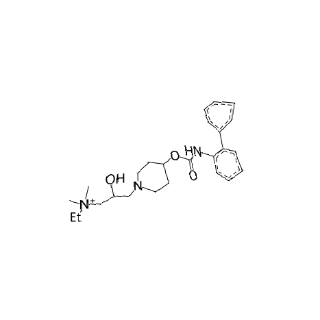 CC[N+](C)(C)CC(O)CN1CCC(OC(=O)Nc2ccccc2-c2ccccc2)CC1